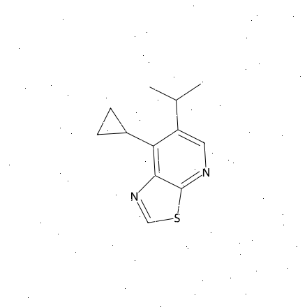 CC(C)c1cnc2scnc2c1C1CC1